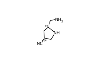 N#C[C@@H]1CN[C@@H](CN)C1